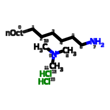 CCCCCCCCCCCCCCN.CN(C)C.Cl.Cl